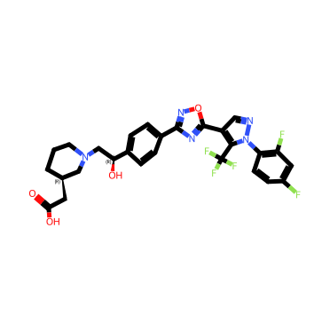 O=C(O)C[C@H]1CCCN(C[C@H](O)c2ccc(-c3noc(-c4cnn(-c5ccc(F)cc5F)c4C(F)(F)F)n3)cc2)C1